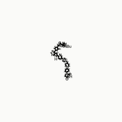 Cc1cc(-c2ncnc3[nH]c(-c4ccc(N5CCN(CC6CCN(c7ccc(N8CCC(=O)NC8=O)cc7)CC6)CC5)cn4)cc23)ccc1C(C)NC(=O)c1nnc(C(C)(C)C)o1